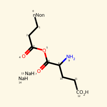 CCCCCCCCCCCC(=O)OC(=O)C(N)CCC(=O)O.[NaH].[NaH]